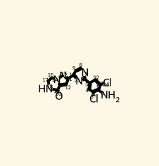 Nc1c(Cl)cc(-c2nccc(-c3cc4n(n3)CCNC4=O)n2)cc1Cl